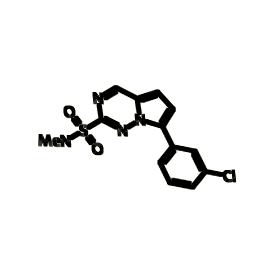 CNS(=O)(=O)c1ncc2ccc(-c3cccc(Cl)c3)n2n1